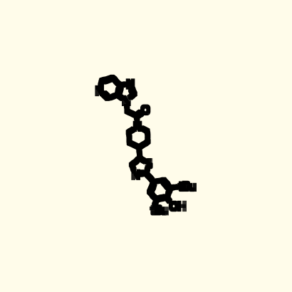 CC(C)(C)c1cc(C2=NCC(C3CCN(C(=O)Cn4cnc5ccncc54)CC3)S2)cc(C(C)(C)C)c1O